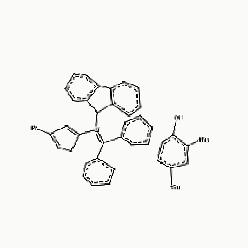 CC(C)(C)c1ccc(O)c(C(C)(C)C)c1.CC(C)C1=CC[C]([Zr](=[C](c2ccccc2)c2ccccc2)[CH]2c3ccccc3-c3ccccc32)=C1